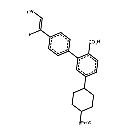 CCCC=C(F)c1ccc(-c2cc(C3CCC(CCCCC)CC3)ccc2C(=O)O)cc1